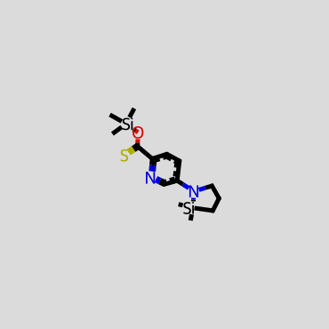 C[Si](C)(C)OC(=S)c1ccc(N2CCC[Si]2(C)C)cn1